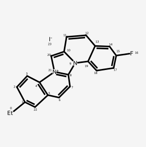 CCc1ccc2c(ccc3n4c(ccc5cc(F)ccc54)c[n+]23)c1.[I-]